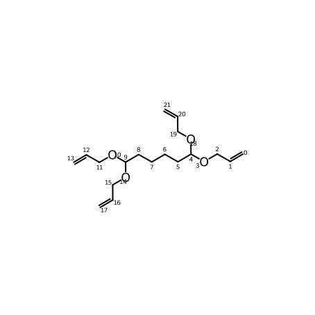 C=CCOC(CCCCC(OCC=C)OCC=C)OCC=C